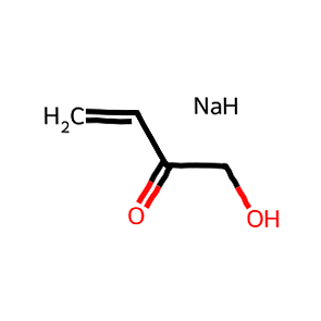 C=CC(=O)CO.[NaH]